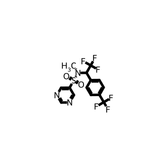 CN(C(c1ccc(C(F)(F)F)cc1)C(F)(F)F)S(=O)(=O)c1cncnc1